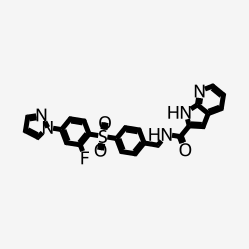 O=C(NCc1ccc(S(=O)(=O)c2ccc(-n3cccn3)cc2F)cc1)c1cc2cccnc2[nH]1